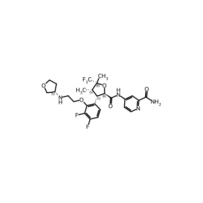 C[C@H]1[C@@H](c2ccc(F)c(F)c2OCCN[C@H]2CCOC2)[C@H](C(=O)Nc2ccnc(C(N)=O)c2)O[C@@]1(C)C(F)(F)F